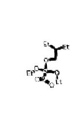 CCO[Si](OCC)(OCC(CC)CC)P(=O)=O